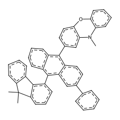 CN1c2ccccc2Oc2ccc(-c3c4ccccc4c(-c4cccc5c4-c4ccccc4C5(C)C)c4cc(-c5ccccc5)ccc34)cc21